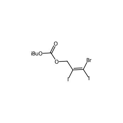 CC(C)COC(=O)OC/C(I)=C(\Br)I